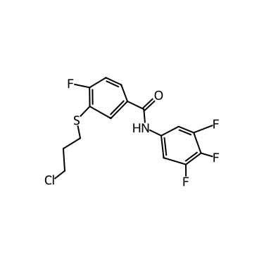 O=C(Nc1cc(F)c(F)c(F)c1)c1ccc(F)c(SCCCCl)c1